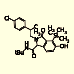 CC(CN1C(=O)c2c(ccc(O)c2[Si](C)(C)C)C1C(=O)NC(C)(C)C)c1ccc(Cl)cc1